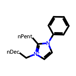 CCCCCCCCCCC[n+]1ccn(-c2ccccc2)c1CCCCC